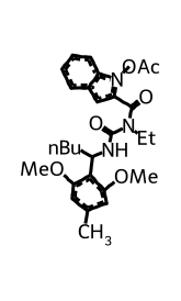 CCCCC(NC(=O)N(CC)C(=O)c1cc2ccccc2n1OC(C)=O)c1c(OC)cc(C)cc1OC